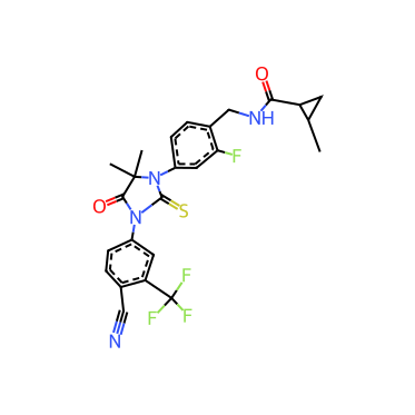 CC1CC1C(=O)NCc1ccc(N2C(=S)N(c3ccc(C#N)c(C(F)(F)F)c3)C(=O)C2(C)C)cc1F